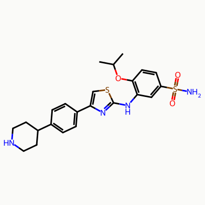 CC(C)Oc1ccc(S(N)(=O)=O)cc1Nc1nc(-c2ccc(C3CCNCC3)cc2)cs1